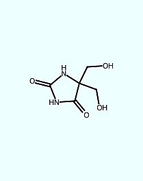 O=C1NC(=O)C(CO)(CO)N1